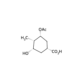 CC(=O)O[C@@H]1C[C@H](C(=O)O)C[C@H](O)[C@@H]1C